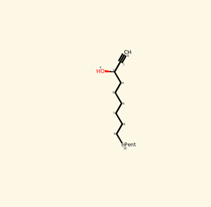 C#C[C@H](O)CCCCCCCCCCC